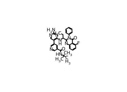 CCC(Nc1nc(N)ncc1-c1cncc(C(=O)NC(C)(C)C)c1)c1nc2cccc(F)c2c(=O)n1-c1ccccc1